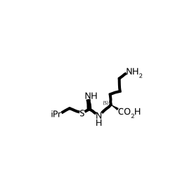 CC(C)CSC(=N)N[C@@H](CCCN)C(=O)O